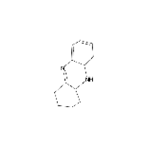 C1=CCC2NC3CCCCC3=NC2=C1